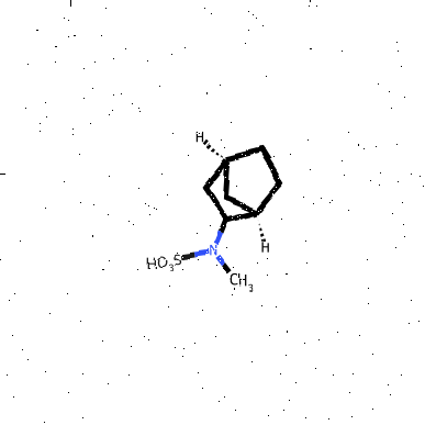 CN(C1C[C@H]2CC[C@@H]1C2)S(=O)(=O)O